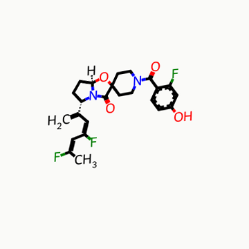 C=C(/C=C(F)\C=C(/C)F)[C@@H]1CC[C@H]2OC3(CCN(C(=O)c4ccc(O)cc4F)CC3)C(=O)N21